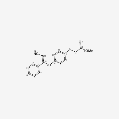 COC(=O)CCc1ccc(OC(=NC#N)c2ccccc2)cc1